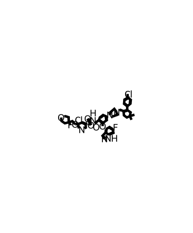 CC1(C)CCC(CN2CCN(c3ccc(C(=O)NS(=O)(=O)C4=CC(Cl)(OCC5(F)CCOCC5)C=NC4)c(Oc4cc(F)cc5[nH]ncc45)c3)CC2)=C(c2ccc(Cl)cc2)C1